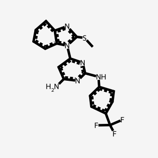 CSc1nc2ccccc2n1-c1cc(N)nc(Nc2ccc(C(F)(F)F)cc2)n1